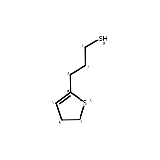 SCCCC1=CCCS1